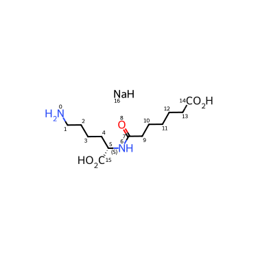 NCCCC[C@H](NC(=O)CCCCCC(=O)O)C(=O)O.[NaH]